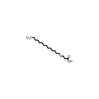 CCCCCCCCCCCCCCSCCC(=O)O